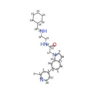 Cc1cc(-c2ccc3ccn(CC(=O)NCCNCC4CCCCC4)c3c2)ccn1